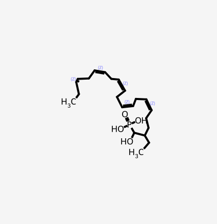 CC/C=C\C/C=C\C/C=C\C/C=C\C/C=C\CCC(CC)C(O)P(=O)(O)O